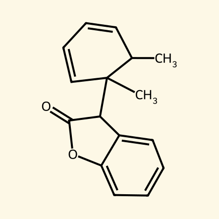 CC1C=CC=CC1(C)C1C(=O)Oc2ccccc21